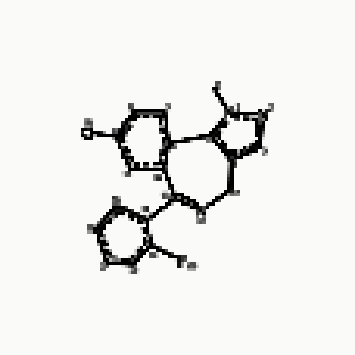 Cn1ncc2c1-c1ccc(Cl)cc1C(c1ccccc1F)=NC2